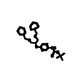 CC(C)(C)OC(=O)Nc1cnc(OC(COCc2ccccc2)COCc2ccccc2)cn1